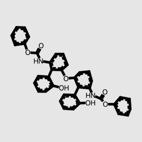 O=C(Nc1cccc(Oc2cccc(NC(=O)Oc3ccccc3)c2-c2ccccc2O)c1-c1ccccc1O)Oc1ccccc1